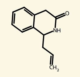 C=CCC1NC(=O)Cc2ccccc21